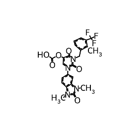 Cc1c(Cn2c(=O)c(OC(=O)O)cn(-c3ccc4c(c3)n(C)c(=O)n4C)c2=O)cccc1C(F)(F)F